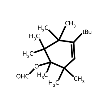 CC(C)(C)C1=CC(C)(C)C(C)(OC=O)C(C)(C)C1(C)C